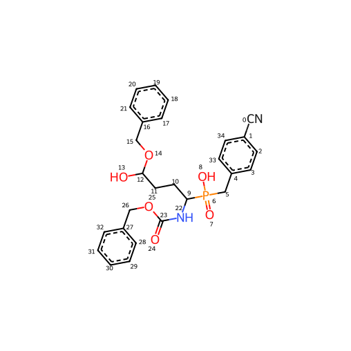 N#Cc1ccc(CP(=O)(O)C(CCC(O)OCc2ccccc2)NC(=O)OCc2ccccc2)cc1